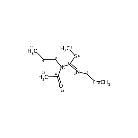 CCCN=C(SC)N(CCC)C(C)=O